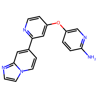 Nc1ccc(Oc2ccnc(-c3ccn4ccnc4c3)c2)cn1